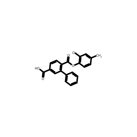 Cc1ccc(OC(=O)c2ccc(C(=O)O)cc2-c2ccccc2)c(Cl)c1